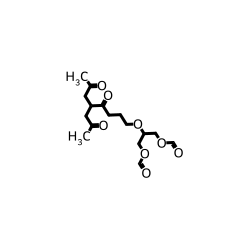 CC(=O)CC(CC(C)=O)C(=O)CCCOC(COC=O)COC=O